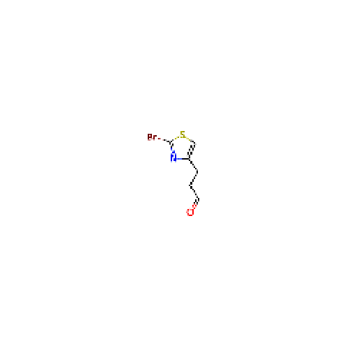 O=CCCc1csc(Br)n1